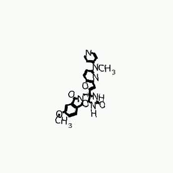 COc1ccc2c(c1)C(=O)N(C[C@@]1(c3cc4nc(N(C)c5ccncc5)ccc4o3)NC(=O)NC1=O)C2